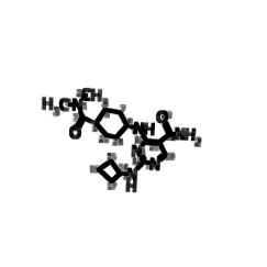 CN(C)C(=O)[C@H]1CC[C@@H](Nc2nc(NC3CCC3)ncc2C(N)=O)CC1